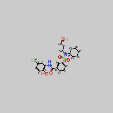 O=C(Nc1cc(Cl)ccc1O)c1cccc(S(=O)(=O)N(CCCO)C2CCCCC2)c1